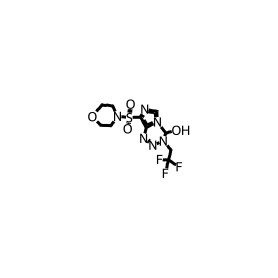 O=S(=O)(c1ncn2c1N=NN(CC(F)(F)F)C2O)N1CCOCC1